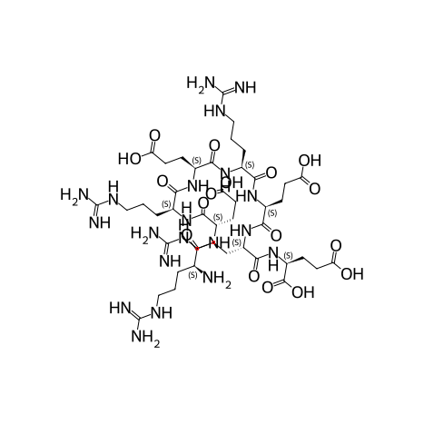 N=C(N)NCCC[C@H](NC(=O)[C@H](CCC(=O)O)NC(=O)[C@H](CCCNC(=N)N)NC(=O)[C@H](CCC(=O)O)NC(=O)[C@H](CCCNC(=N)N)NC(=O)[C@H](CCC(=O)O)NC(=O)[C@@H](N)CCCNC(=N)N)C(=O)N[C@@H](CCC(=O)O)C(=O)O